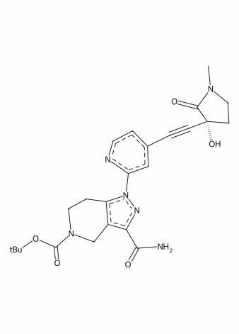 CN1CC[C@@](O)(C#Cc2ccnc(-n3nc(C(N)=O)c4c3CCN(C(=O)OC(C)(C)C)C4)c2)C1=O